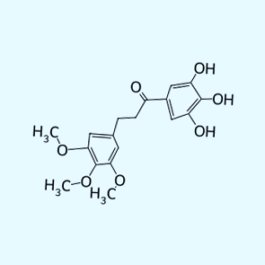 COc1cc(CCC(=O)c2cc(O)c(O)c(O)c2)cc(OC)c1OC